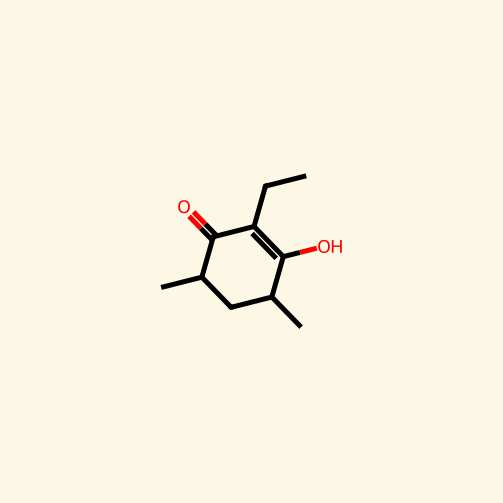 CCC1=C(O)C(C)CC(C)C1=O